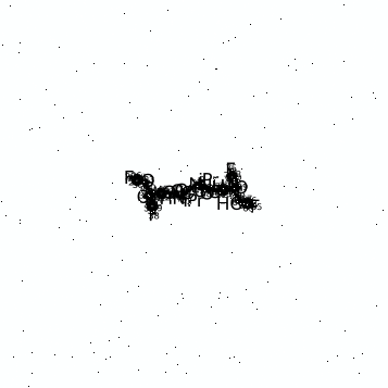 CC(C)C(=NCCOC(=O)[C@H](NC(=O)COc1ccc([C@@H]2[C@@H](SCC(=O)c3ccc(F)cc3)C(=O)N2c2ccc(F)cc2)cc1)C(C)C)C(=O)NC(=O)COc1ccc([C@@H]2[C@@H](SCC(O)c3ccc(F)cc3)C(=O)N2c2ccc(F)cc2)cc1